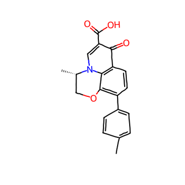 Cc1ccc(-c2ccc3c(=O)c(C(=O)O)cn4c3c2OC[C@@H]4C)cc1